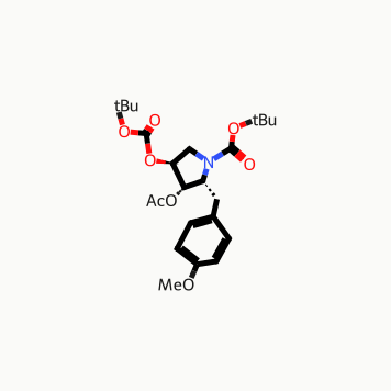 COc1ccc(C[C@@H]2[C@H](OC(C)=O)[C@@H](OC(=O)OC(C)(C)C)CN2C(=O)OC(C)(C)C)cc1